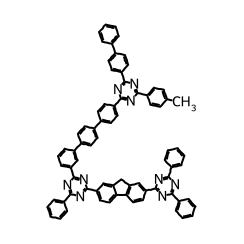 Cc1ccc(-c2nc(-c3ccc(-c4ccccc4)cc3)nc(-c3ccc(-c4ccc(-c5cccc(-c6nc(-c7ccccc7)nc(-c7ccc8c(c7)Cc7cc(-c9nc(-c%10ccccc%10)nc(-c%10ccccc%10)n9)ccc7-8)n6)c5)cc4)cc3)n2)cc1